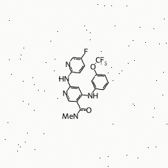 CNC(=O)c1cnc(Nc2ccc(F)cn2)cc1Nc1cccc(OC(F)(F)F)c1